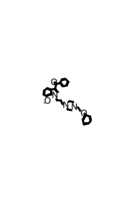 COc1cccc2c(C(=O)c3ccccc3)cn(CCCN3CCN(CCOc4ccccc4)CC3)c12